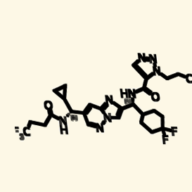 O=C(CCC(F)(F)F)N[C@@H](c1cnn2cc([C@@H](NC(=O)c3cnnn3CCC(F)(F)F)C3CCC(F)(F)CC3)nc2c1)C1CC1